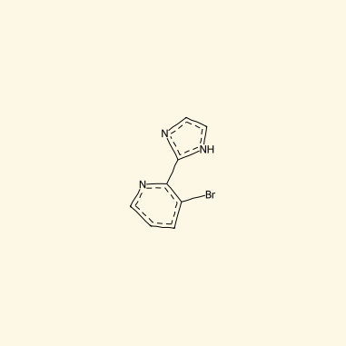 Brc1cccnc1-c1ncc[nH]1